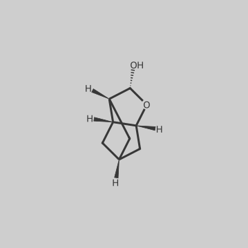 O[C@@H]1O[C@@H]2C[C@H]3C[C@@H]1[C@H]2C3